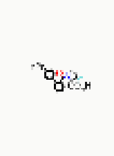 CCCc1ccc(-c2ccccc2C(=O)N2CCC(F)C2C(=O)O)cc1